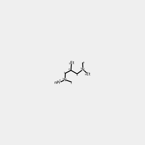 CCCN(C)CC(CC)CN(C)CC